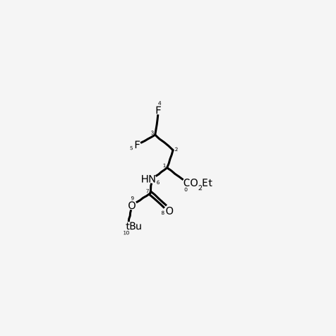 CCOC(=O)C(CC(F)F)NC(=O)OC(C)(C)C